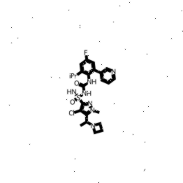 CC(C)c1cc(F)cc(-c2cccnc2)c1NC(=O)NS(=N)(=O)c1nn(C)c(C(C)N2CCC2)c1Cl